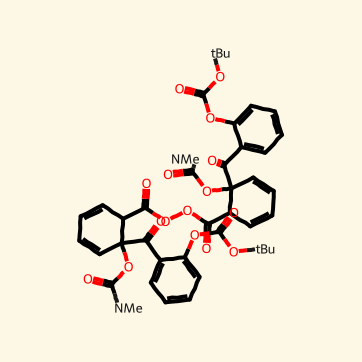 CNC(=O)OC1(C(=O)c2ccccc2OC(=O)OC(C)(C)C)C=CC=CC1C(=O)OOC(=O)C1C=CC=CC1(OC(=O)NC)C(=O)c1ccccc1OC(=O)OC(C)(C)C